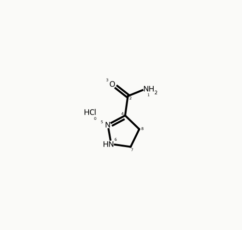 Cl.NC(=O)C1=NNCC1